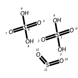 O=S(=O)(O)O.O=S(=O)(O)O.O=S=O